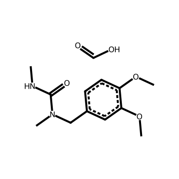 CNC(=O)N(C)Cc1ccc(OC)c(OC)c1.O=CO